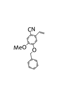 C=Cc1cc(OCc2ccccc2)c(OC)cc1C#N